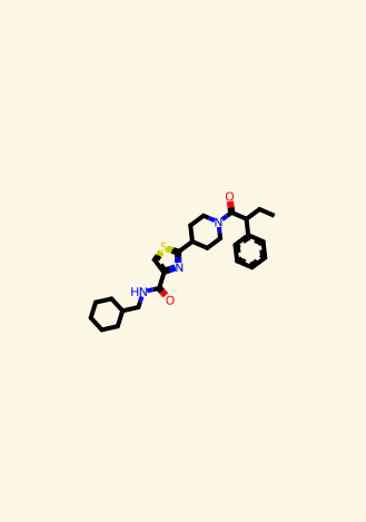 CCC(C(=O)N1CCC(c2nc(C(=O)NCC3CCCCC3)cs2)CC1)c1ccccc1